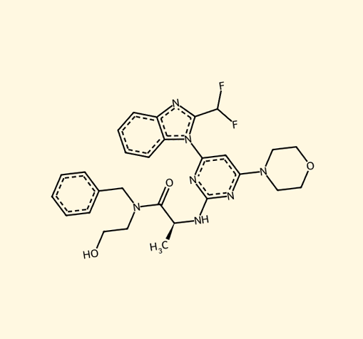 C[C@H](Nc1nc(N2CCOCC2)cc(-n2c(C(F)F)nc3ccccc32)n1)C(=O)N(CCO)Cc1ccccc1